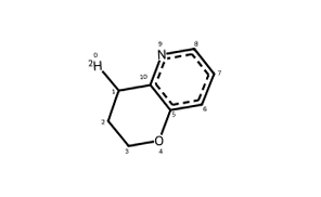 [2H]C1CCOc2cccnc21